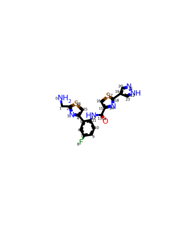 NCc1nc(-c2cc(F)ccc2NC(=O)c2csc(-c3cn[nH]c3)n2)cs1